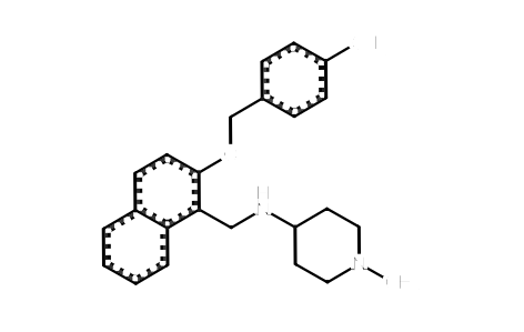 Cc1ccc(COc2ccc3ccccc3c2CNC2CCN(C)CC2)cc1